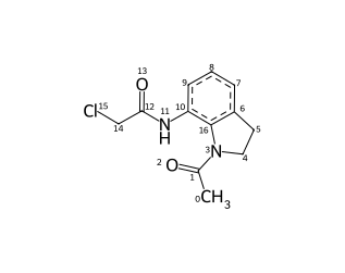 CC(=O)N1CCc2cccc(NC(=O)CCl)c21